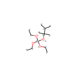 CCO[Si](OCC)(OCC)OC(C)(C)C(C)C